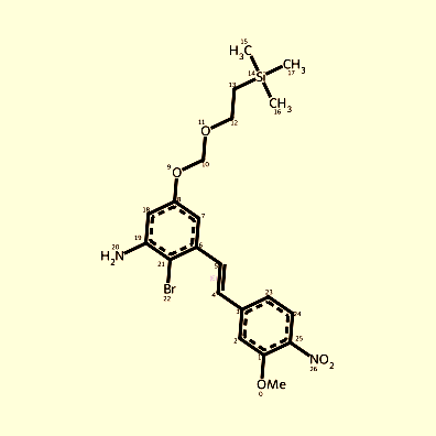 COc1cc(/C=C/c2cc(OCOCC[Si](C)(C)C)cc(N)c2Br)ccc1[N+](=O)[O-]